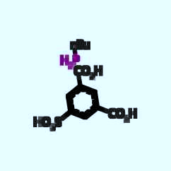 CCCCP.O=C(O)c1cc(C(=O)O)cc(S(=O)(=O)O)c1